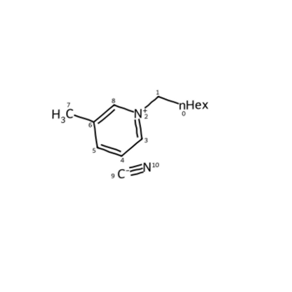 CCCCCCC[n+]1cccc(C)c1.[C-]#N